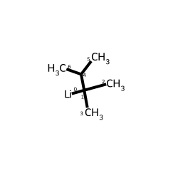 [Li][C](C)(C)C(C)C